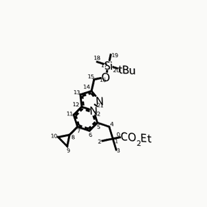 CCOC(=O)C(C)(C)Cc1cc(C2CC2)cc2cc(CO[Si](C)(C)C(C)(C)C)nn12